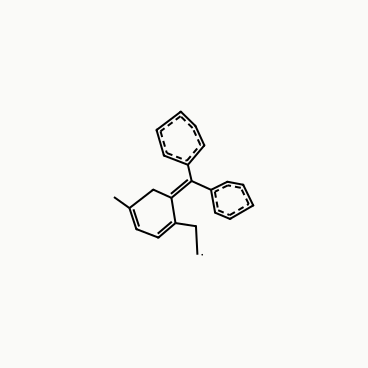 [CH2]CC1=CC=C(C)CC1=C(c1ccccc1)c1ccccc1